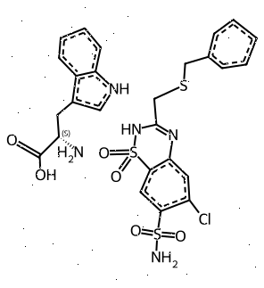 NS(=O)(=O)c1cc2c(cc1Cl)N=C(CSCc1ccccc1)NS2(=O)=O.N[C@@H](Cc1c[nH]c2ccccc12)C(=O)O